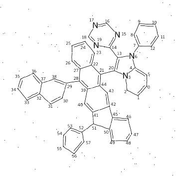 C1=CCN2C(=C1)N(c1ccccc1)C(c1ncncn1)=C2c1c2ccccc2c(-c2ccc3ccccc3c2)c2cc3c(cc12)-c1ccccc1C3c1ccccc1